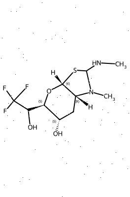 CNC1S[C@H]2O[C@H](C(O)C(F)(F)F)[C@@H](O)C[C@H]2N1C